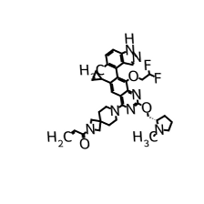 C=CC(=O)N1CC2(CCN(c3nc(OC[C@@H]4CCCN4C)nc4c(OCC(F)F)c(-c5c(C)ccc6[nH]ncc56)c(C5CC5)cc34)CC2)C1